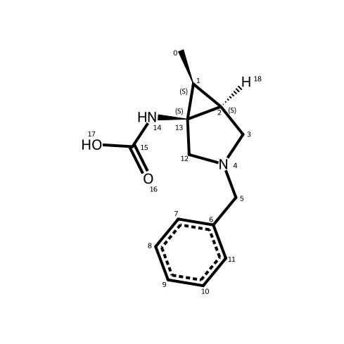 C[C@H]1[C@H]2CN(Cc3ccccc3)C[C@@]21NC(=O)O